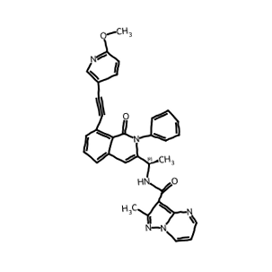 COc1ccc(C#Cc2cccc3cc([C@@H](C)NC(=O)c4c(C)nn5cccnc45)n(-c4ccccc4)c(=O)c23)cn1